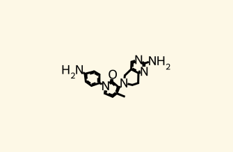 Cc1ccn(-c2ccc(N)cc2)c(=O)c1N1CCc2nc(N)ncc2C1